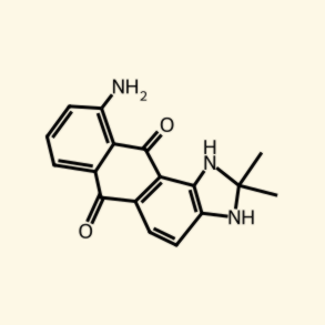 CC1(C)Nc2ccc3c(c2N1)C(=O)c1c(N)cccc1C3=O